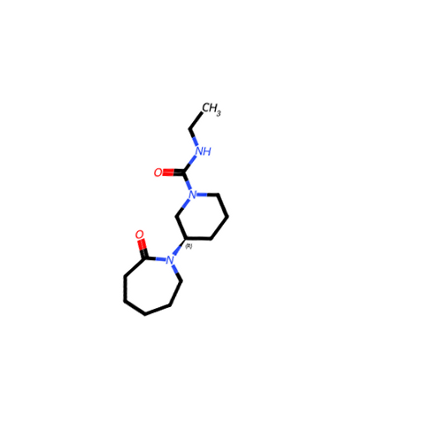 CCNC(=O)N1CCC[C@@H](N2CCCCCC2=O)C1